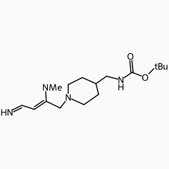 CN/C(=C\C=N)CN1CCC(CNC(=O)OC(C)(C)C)CC1